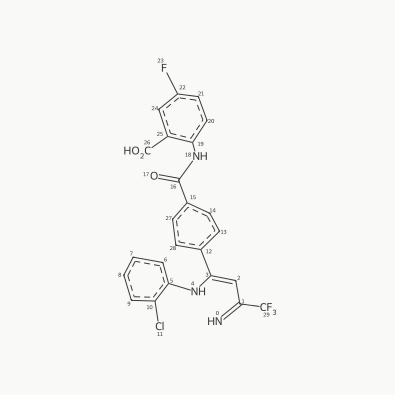 N=C(/C=C(\Nc1ccccc1Cl)c1ccc(C(=O)Nc2ccc(F)cc2C(=O)O)cc1)C(F)(F)F